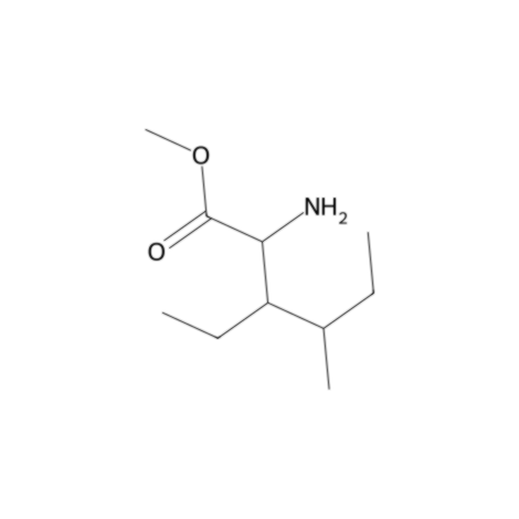 CCC(C)C(CC)C(N)C(=O)OC